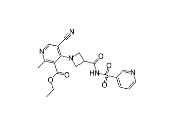 CCOC(=O)c1c(C)ncc(C#N)c1N1CC(C(=O)NS(=O)(=O)c2cccnc2)C1